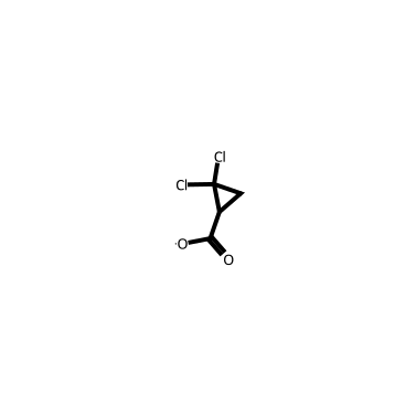 [O]C(=O)C1CC1(Cl)Cl